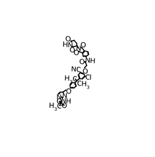 CC(C)(c1ccc(OCc2ccnc(NS(C)(=O)=O)n2)cc1)c1cc(Cl)c(OCCC(=O)Nc2ccc3c(c2)C(=O)N(C2CCC(=O)NC2=O)C3=O)c(C#N)c1